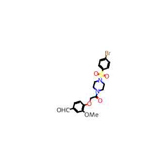 COc1cc(C=O)ccc1OCC(=O)N1CCN(S(=O)(=O)c2ccc(Br)cc2)CC1